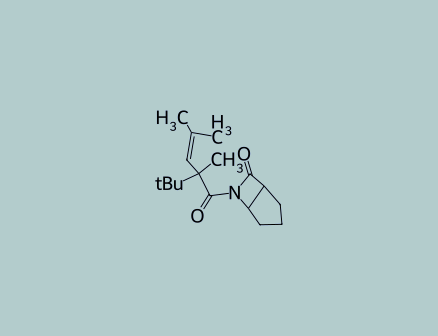 CC(C)=CC(C)(C(=O)N1C(=O)C2CCCC21)C(C)(C)C